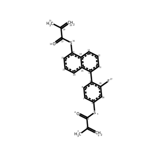 C=C(C)C(=O)Sc1ccc(-c2cccc3c(SC(=O)C(=C)C)cccc23)c(F)c1